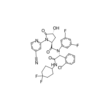 N#Cc1ccnc(N2C(=O)[C@H](O)C[C@H]2C(=O)N(c2cc(F)cc(F)c2)[C@@H](C(=O)NC2CCC(F)(F)CC2)c2ccccc2Cl)c1